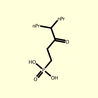 CCCC(CCC)C(=O)CCP(=O)(O)O